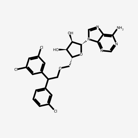 Nc1ncnc2c1ncn2[C@@H]1O[C@H](COCC(c2cccc(Cl)c2)c2cc(Cl)cc(Cl)c2)[C@@H](O)[C@H]1O